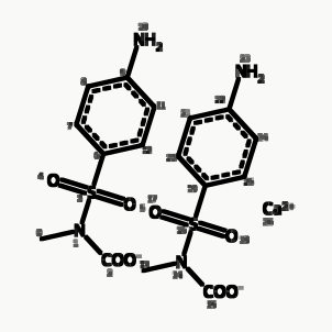 CN(C(=O)[O-])S(=O)(=O)c1ccc(N)cc1.CN(C(=O)[O-])S(=O)(=O)c1ccc(N)cc1.[Ca+2]